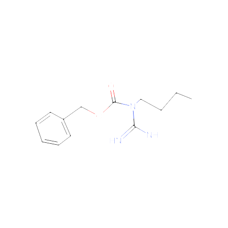 CCCCN(C(=N)N)C(=O)OCc1ccccc1